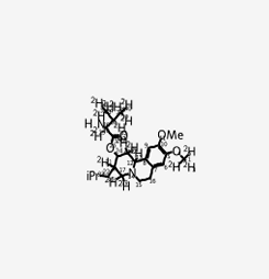 [2H]C([2H])([2H])Oc1cc2c(cc1OC)C1([2H])N(CC2)C([2H])([2H])C([2H])(CC(C)C)C(OC(=O)[C@@]([2H])(N)C([2H])(C([2H])([2H])[2H])C([2H])([2H])[2H])C1([2H])[2H]